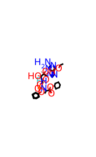 CCOc1nc(N)nc2c1ncn2C1O[C@](F)(COP(=O)(NC(C)C(=O)OC2CCCCC2)Oc2ccccc2)[C@@H](O)[C@@]1(C)O